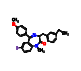 CCc1cccc(CC2N=C(c3ccc(OC)cc3)c3cc(I)ccc3N(C)C2=O)c1